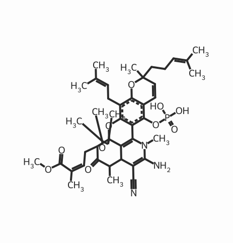 COC(=O)/C(C)=C\CC12OC(C)(C)C(C)C13Oc1c(CC=C(C)C)c4c(c(OP(=O)(O)O)c1C1=C3C(C(C#N)=C(N)N1C)C(C)C2=O)C=CC(C)(CCC=C(C)C)O4